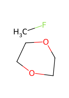 C1COCCO1.CF